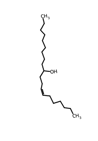 CCCCCC/C=C\CCC(O)CCCCCCCCC